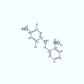 Cc1cc(OCc2ccccc2[N+](=O)[O-])c(C)cc1O